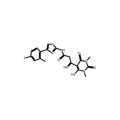 Cn1c(S)c(C(=N)CC(=O)Nc2nc(-c3ccc(F)cc3F)cs2)c(=O)n(C)c1=O